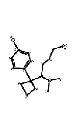 CC(=O)CCCC(N(C)C)C1(c2ccc(Cl)cc2)CCC1